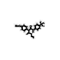 C=CCN(C)C(C(=O)Nc1ccc([Si](C)(C)C)cc1)c1ccc(OC)cc1